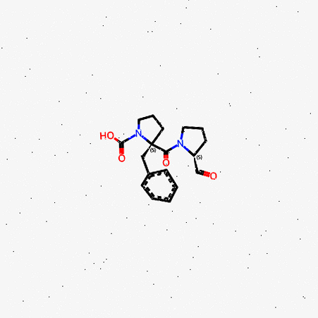 O=C[C@@H]1CCCN1C(=O)[C@@]1(Cc2ccccc2)CCCN1C(=O)O